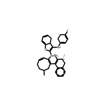 BC1=C(/C2=C(NC3=C(NC4=CC=C(F)CC4)C4CC=CC=C4O3)/C=C\CCC(C)C2)c2ccccc2C[C@H]1C